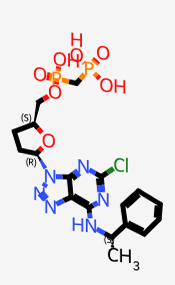 C[C@H](Nc1nc(Cl)nc2c1nnn2[C@H]1CC[C@@H](COP(=O)(O)CP(=O)(O)O)O1)c1ccccc1